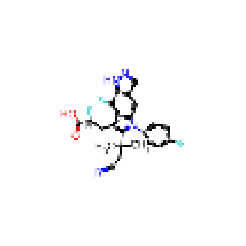 CC(C)(CC#N)c1c(C[C@@H](F)C(=O)O)c2c(F)c3[nH]ncc3cc2n1-c1ccc(F)cc1